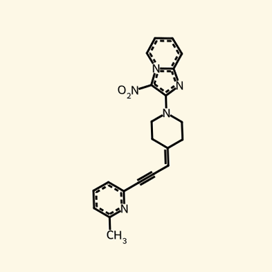 Cc1cccc(C#CC=C2CCN(c3nc4ccccn4c3[N+](=O)[O-])CC2)n1